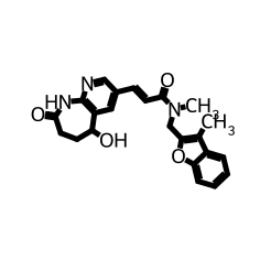 Cc1c(CN(C)C(=O)C=Cc2cnc3c(c2)C(O)CCC(=O)N3)oc2ccccc12